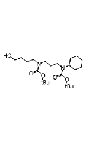 CC(C)(C)OC(=O)N(CCCCO)CCCN(C(=O)OC(C)(C)C)C1CCCCC1